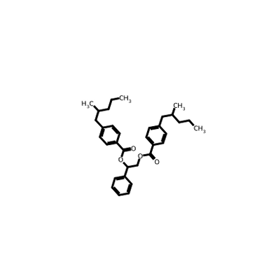 CCCC(C)Cc1ccc(C(=O)OCC(OC(=O)c2ccc(CC(C)CCC)cc2)c2ccccc2)cc1